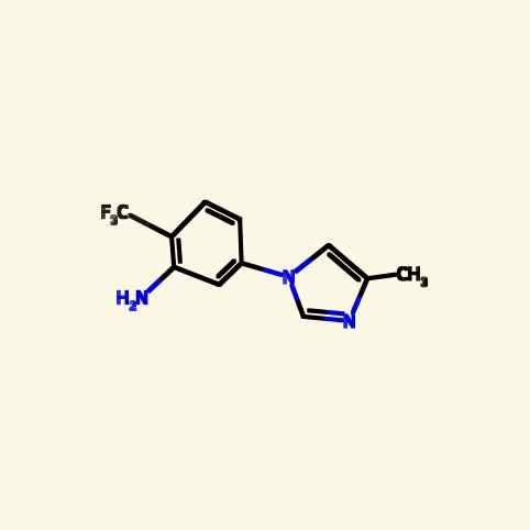 Cc1cn(-c2ccc(C(F)(F)F)c(N)c2)cn1